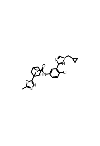 Cc1nnc(C23CCCC(C2)N3C(=O)Nc2ccc(Cl)c(-c3ncn(CC4CC4)n3)c2)o1